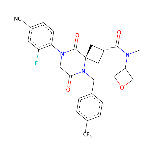 CN(C(=O)[C@H]1C[C@]2(C1)C(=O)N(c1ccc(C#N)cc1F)CC(=O)N2Cc1ccc(C(F)(F)F)cc1)C1COC1